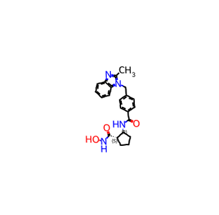 Cc1nc2ccccc2n1Cc1ccc(C(=O)N[C@@H]2CCC[C@@H]2C(=O)NO)cc1